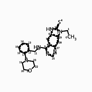 CCn1c(=S)[nH]c2cc3c(NCc4ccccc4N4CCOCC4)ncnc3cc21